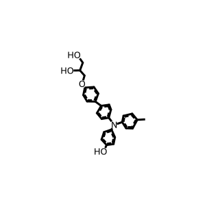 Cc1ccc(N(c2ccc(O)cc2)c2ccc(-c3ccc(OCC(O)CO)cc3)cc2)cc1